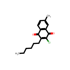 CCCCCCC1=C(Cl)C(=O)c2cc(C)ccc2C1=O